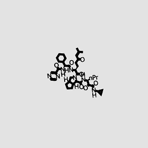 CCC[C@H](NC(=O)C1[C@H]2CCC[C@H]2CN1C(=O)[C@H](CCC(=O)C=C(C)C)NC(=O)[C@@H](NC(=O)c1cnccn1)C1CCCCC1)C(=O)C(=O)NC1CC1